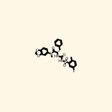 Cc1ccc(F)cc1S(=O)(=O)NC(=O)N[C@@H](Cc1ccccc1)C(=O)N(C)c1ccc2c(c1)OCO2